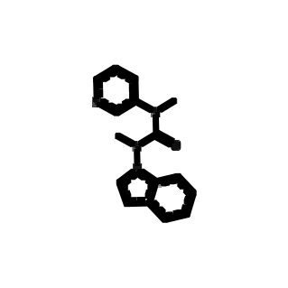 CN(C(=O)N(C)n1ccc2ccccc21)c1cccnc1